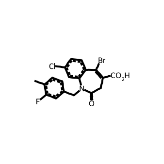 Cc1ccc(CN2C(=O)CC(C(=O)O)=C(Br)c3ccc(Cl)cc32)cc1F